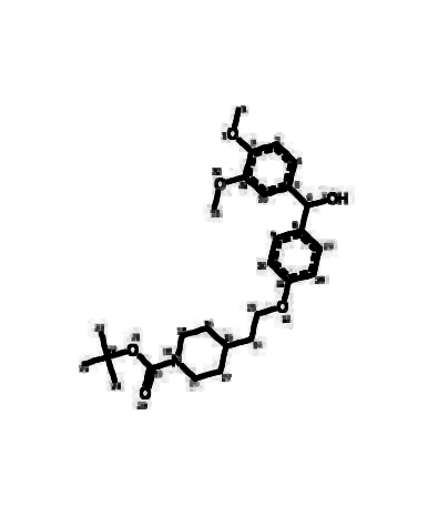 COc1ccc(C(O)c2ccc(OCCC3CCN(C(=O)OC(C)(C)C)CC3)cc2)cc1OC